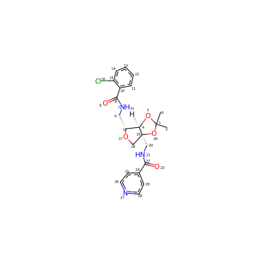 CC1(C)O[C@@H]2[C@@H](CNC(=O)c3ccccc3Cl)OC[C@]2(CNC(=O)c2ccncc2)O1